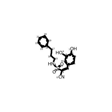 N#CC(=Cc1ccc(O)c(O)c1)S(=O)(=O)NCCCc1ccccc1